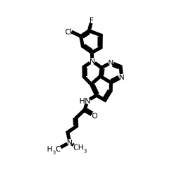 CN(C)C/C=C/C(=O)Nc1ccc2ncnc3c2c1C=CN3c1ccc(F)c(Cl)c1